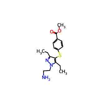 CCc1nn(CCN)c(CC)c1Sc1ccc(C(=O)OC)cc1